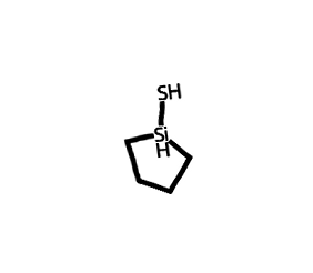 S[SiH]1CCCC1